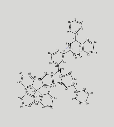 N/C(=N\C(c1ccccc1)c1ccccc1)c1cccc(-n2c3ccc(-c4ccccc4)cc3c3cc4c(cc32)-c2ccccc2C4(c2ccccc2)c2ccccc2)c1